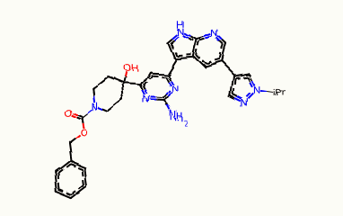 CC(C)n1cc(-c2cnc3[nH]cc(-c4cc(C5(O)CCN(C(=O)OCc6ccccc6)CC5)nc(N)n4)c3c2)cn1